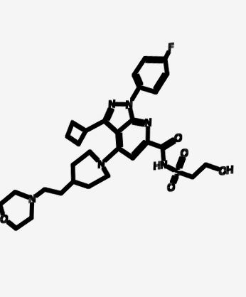 O=C(NS(=O)(=O)CCO)c1cc(N2CCC(CCN3CCOCC3)CC2)c2c(C3CCC3)nn(-c3ccc(F)cc3)c2n1